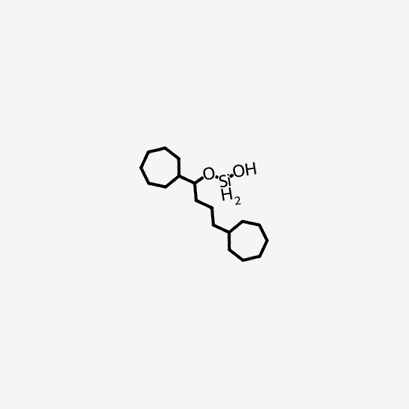 O[SiH2]OC(CCCC1CCCCCC1)C1CCCCCC1